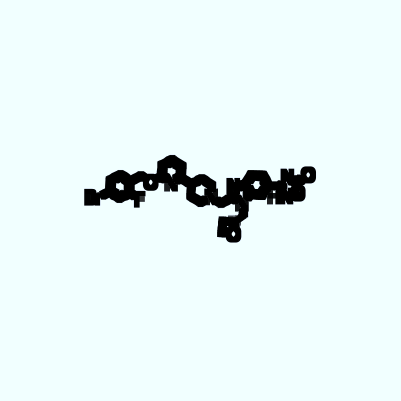 O=c1nc(-c2ccc3nc(CN4CCC(c5cccc(OCc6ccc(Br)cc6F)n5)CC4)n(C[C@@H]4CCO4)c3c2)[nH]o1